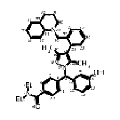 CCN(CC)C(=O)c1ccc(C(c2cccc(O)c2)n2nc(C)c(-c3ccccc3CN3CCCC4C=CC=CC43)c2C)cc1